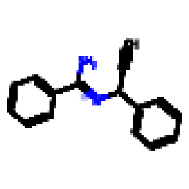 C#CC(/N=C(\N)c1ccccc1)c1ccccc1